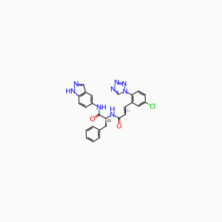 O=C(/C=C/c1cc(Cl)ccc1-n1cnnn1)N[C@@H](Cc1ccccc1)C(=O)Nc1ccc2[nH]ncc2c1